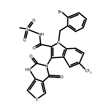 CS(=O)(=O)NC(=O)c1c(-n2c(=O)[nH]c3cscc3c2=O)c2cc(C(F)(F)F)ccc2n1Cc1ccccc1Br